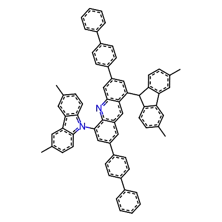 Cc1ccc2c(c1)-c1cc(C)ccc1C2c1cc(-c2ccc(-c3ccccc3)cc2)cc2nc3c(-n4c5ccc(C)cc5c5cc(C)ccc54)cc(-c4ccc(-c5ccccc5)cc4)cc3cc12